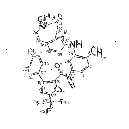 Cc1ccc(NC(=O)c2oc(C(F)(F)F)nc2-c2ccc(F)cc2)cc1Nc1ccc2ncn(C)c(=O)c2c1